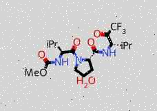 COC(=O)N[C@H](C(=O)N1CCC[C@H]1C(=O)N[C@H](C(=O)C(F)(F)F)C(C)C)C(C)C.O